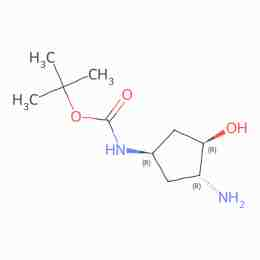 CC(C)(C)OC(=O)N[C@@H]1C[C@@H](N)[C@H](O)C1